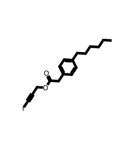 CCCCCCc1ccc(CC(=O)OCC#CI)cc1